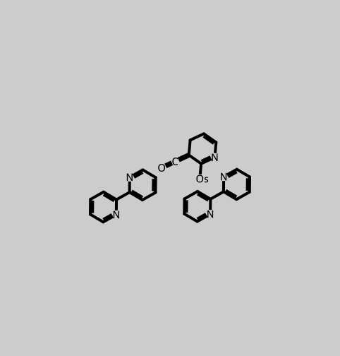 O=C=C1CC=CN=[C]1[Os].c1ccc(-c2ccccn2)nc1.c1ccc(-c2ccccn2)nc1